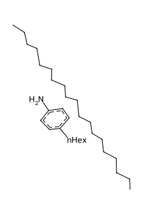 CCCCCCCCCCCCCCCCCCC.CCCCCCc1ccc(N)cc1